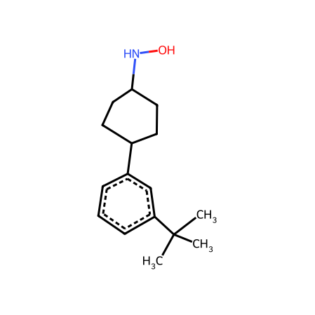 CC(C)(C)c1cccc(C2CCC(NO)CC2)c1